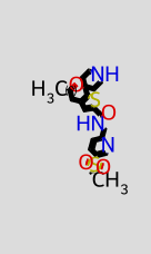 CCS(=O)(=O)c1ccc(CNC(=O)c2cc3c(s2)C2(CCNCC2)O[C@@H](C)C3)nc1